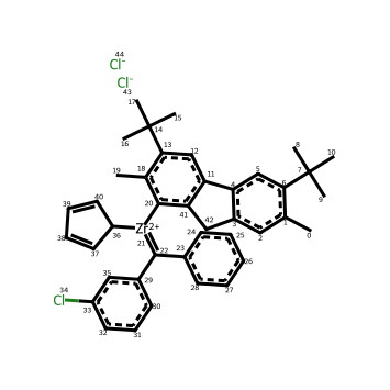 Cc1cc2c(cc1C(C)(C)C)-c1cc(C(C)(C)C)c(C)[c]([Zr+2](=[C](c3ccccc3)c3cccc(Cl)c3)[CH]3C=CC=C3)c1C2.[Cl-].[Cl-]